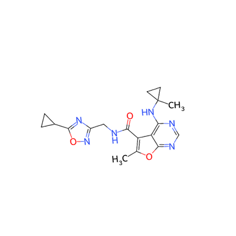 Cc1oc2ncnc(NC3(C)CC3)c2c1C(=O)NCc1noc(C2CC2)n1